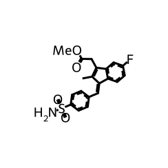 COC(=O)CC1=C(C)C(=Cc2ccc(S(N)(=O)=O)cc2)c2ccc(F)cc21